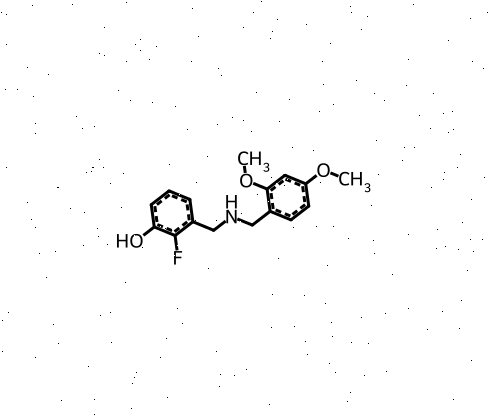 COc1ccc(CNCc2cccc(O)c2F)c(OC)c1